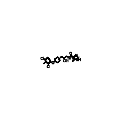 Cc1[nH]nnc1C(=O)NC[C@@H](O)CN1CCC(Oc2ccc(Cl)c(C)c2Cl)CC1